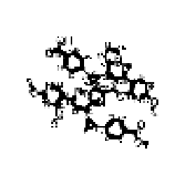 COC(=O)c1ccc([C@H]2C[C@@H]2c2cc(-c3cnc(OC)nc3OC)nn3cc(COc4nc(OC)ncc4-c4cc([C@H]5C[C@@H]5c5ccc(C(=O)O)cc5)c5nccn5n4)nc23)cc1